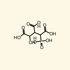 O=C(O)C(O)C(C(=O)O)C(C(=O)O)P(=O)(O)O